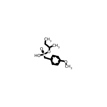 CCC(C)OP(=O)(O)Cc1ccc(OC)cc1